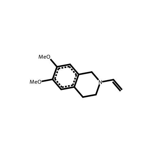 C=CN1CCc2cc(OC)c(OC)cc2C1